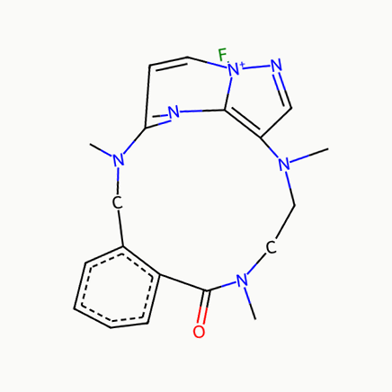 CN1CCN(C)C2=C3N=C(C=C[N+]3(F)N=C2)N(C)Cc2ccccc2C1=O